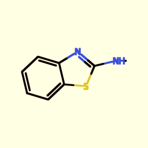 [NH]c1nc2ccccc2s1